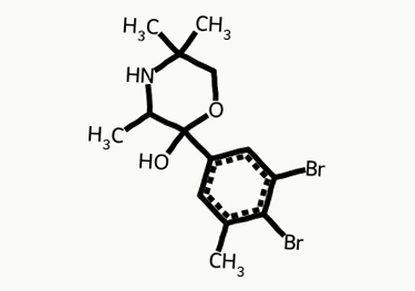 Cc1cc(C2(O)OCC(C)(C)NC2C)cc(Br)c1Br